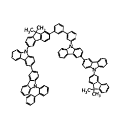 CC1(C)c2ccccc2-c2cc(-n3c4ccccc4c4cc(-c5ccc6c(c5)c5ccccc5n6-c5cccc(-c6cccc(-c7ccc8c(c7)C(C)(C)c7ccc(-n9c%10ccccc%10c%10cc(-c%11ccc%12c(c%11)c%11ccccc%11n%12-c%11ccccc%11-c%11ccccc%11)ccc%109)cc7-8)c6)c5)ccc43)ccc21